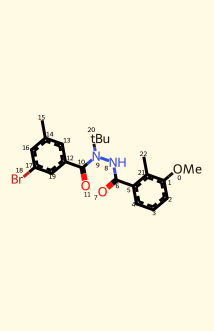 COc1cccc(C(=O)NN(C(=O)c2cc(C)cc(Br)c2)C(C)(C)C)c1C